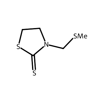 CSCN1CCSC1=S